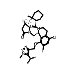 C[C@@H]1CC(=O)N(C[C@@H]2c3c(c(Cl)cc(F)c3OCc3nnn(C)c3C(F)F)CCN2C(=O)[C@@H]2CCCC[C@]2(C)C(=O)O)C1